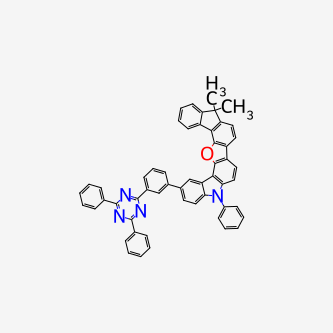 CC1(C)c2ccccc2-c2c1ccc1c2oc2c1ccc1c2c2cc(-c3cccc(-c4nc(-c5ccccc5)nc(-c5ccccc5)n4)c3)ccc2n1-c1ccccc1